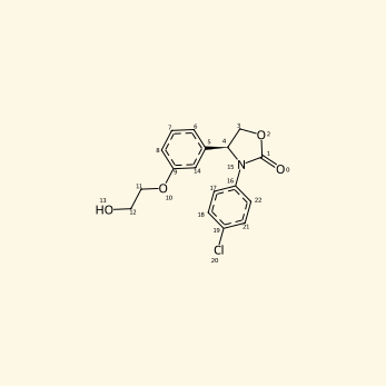 O=C1OC[C@H](c2cccc(OCCO)c2)N1c1ccc(Cl)cc1